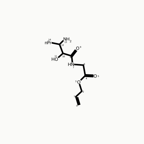 C=CCOC(=O)CNC(=O)C(O)C(N)CCC